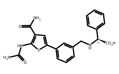 NC(=O)Nc1sc(-c2cccc(CN[C@H](C(=O)O)c3ccccc3)c2)cc1C(N)=O